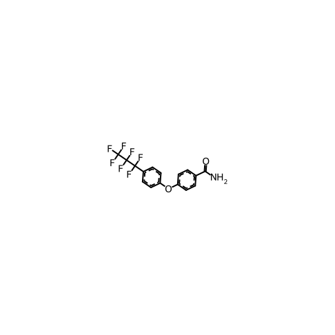 NC(=O)c1ccc(Oc2ccc(C(F)(F)C(F)(F)C(F)(F)F)cc2)cc1